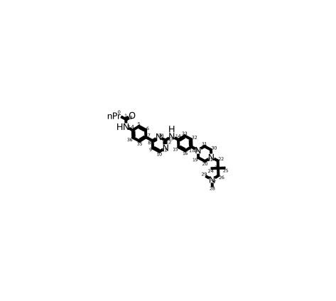 CCCC(=O)Nc1ccc(-c2ccnc(Nc3ccc(N4CCN(CC(C)(C)CN(C)C)CC4)cc3)n2)cc1